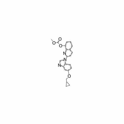 COC(=O)Oc1cccc2ccc(-n3cnc4cc(OCC5CC5)ccc43)nc12